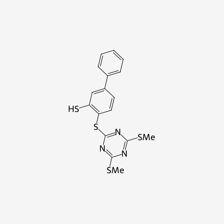 CSc1nc(SC)nc(Sc2ccc(-c3ccccc3)cc2S)n1